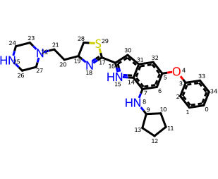 c1ccc(Oc2cc(NC3CCCC3)c3[nH]c(C4=NC(CCN5CCNCC5)CS4)cc3c2)cc1